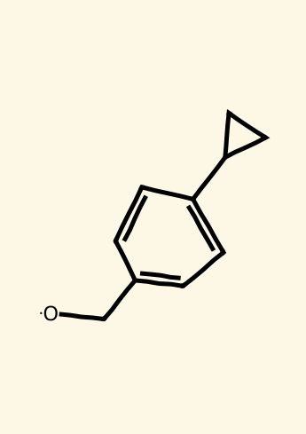 [O]Cc1ccc(C2CC2)cc1